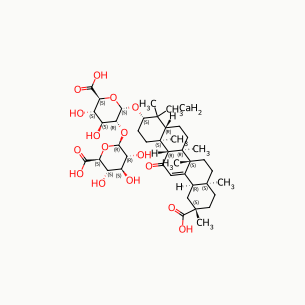 CC1(C)[C@@H](O[C@H]2O[C@H](C(=O)O)[C@@H](O)[C@H](O)[C@H]2O[C@@H]2O[C@H](C(=O)O)[C@@H](O)[C@H](O)[C@H]2O)CC[C@]2(C)[C@H]3C(=O)C=C4[C@@H]5C[C@@](C)(C(=O)O)CC[C@]5(C)CC[C@@]4(C)[C@]3(C)CC[C@@H]12.[CaH2]